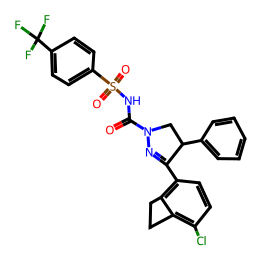 O=C(NS(=O)(=O)c1ccc(C(F)(F)F)cc1)N1CC(c2ccccc2)C(c2ccc(Cl)c3c2CC3)=N1